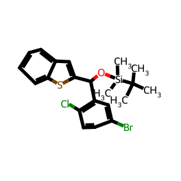 CC(C)(C)[Si](C)(C)OC(c1cc2ccccc2s1)c1cc(Br)ccc1Cl